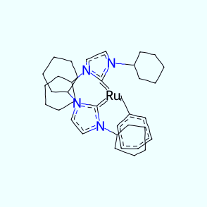 [CH](c1ccccc1)=[Ru](=[c]1n(C2CCCCC2)ccn1C1CCCCC1)=[c]1n(C2CCCCC2)ccn1C1CCCCC1